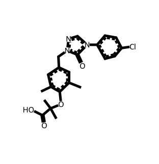 Cc1cc(Cn2ncn(-c3ccc(Cl)cc3)c2=O)cc(C)c1OC(C)(C)C(=O)O